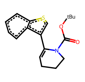 CC(C)(C)OC(=O)N1CCCC=C1c1csc2ccccc12